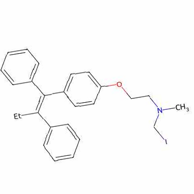 CC/C(=C(\c1ccccc1)c1ccc(OCCN(C)CI)cc1)c1ccccc1